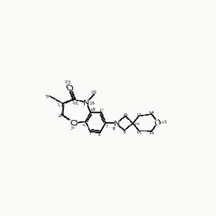 CC1COc2ccc(N3CC4(CCOCC4)C3)cc2N(C)C1=O